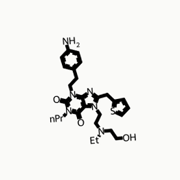 CCCn1c(=O)c2c(nc(Cc3cccs3)n2CCN(CC)CCO)n(CCc2ccc(N)cc2)c1=O